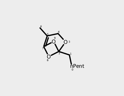 CCCCCCC12OCC(C)=C(O1)O2